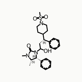 C[C@H]1[C@@H](c2ccccc2)N(C(O)C[C@@H](c2ccccc2)C2CCN(S(C)(=O)=O)CC2)C(=O)N1C